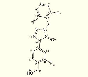 O=c1n(Cc2c(F)cccc2F)cnn1-c1ccc(CO)c(F)c1